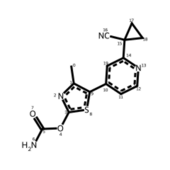 Cc1nc(OC(N)=O)sc1-c1ccnc(C2(C#N)CC2)c1